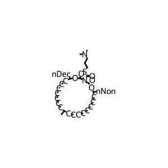 CCCCCCCCCCC1CCCCCCCC(C)CCCCCCCCC(CCCCCCCCC)OC(=O)N(C(=O)SCCCN(C)C)C(=O)O1